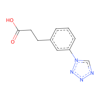 O=C(O)CCc1cccc(-n2cnnn2)c1